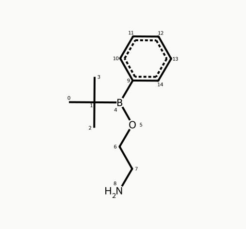 CC(C)(C)B(OCCN)c1ccccc1